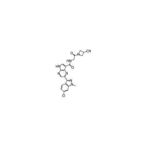 Cn1nc(-c2cnc3[nH]cc(C(=O)NCC(=O)N4CC(C#N)C4)c3n2)c2ccc(Cl)cc21